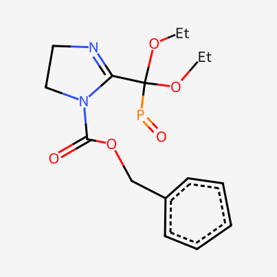 CCOC(OCC)(P=O)C1=NCCN1C(=O)OCc1ccccc1